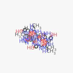 CC[C@@H](C)[C@@H](NC(=O)[C@H](N)Cc1ccc(O)cc1)C(=O)N[C@H](Cc1ccc(O)cc1)C(=O)N[C@H](CC(N)=O)C(=O)N[C@@H](C(=O)N[C@H](C)C(=O)NCC(=O)N[C@H](CC(C)C)C(=O)N[C@H](Cc1ccc(O)cc1)C(=O)N[C@@H](C(=O)N[C@H](Cc1c[nH]cn1)C(=O)N[C@H](Cc1c[nH]cn1)C(N)=O)[C@H](C)CC)C(C)C